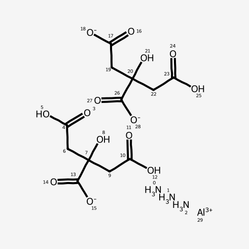 N.N.N.O=C(O)CC(O)(CC(=O)O)C(=O)[O-].O=C([O-])CC(O)(CC(=O)O)C(=O)[O-].[Al+3]